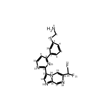 NCSc1cccc(-c2ccnc(-c3cnc4cnc(C(F)F)cn34)n2)c1